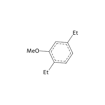 [CH2]Cc1ccc(CC)c(OC)c1